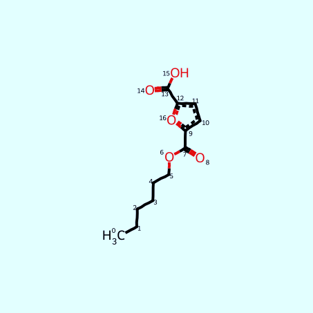 CCCCCCOC(=O)c1ccc(C(=O)O)o1